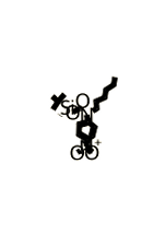 CCCCCCN(C(=O)O[Si](C)(C)C(C)(C)C)c1ccc([N+](=O)[O-])cc1